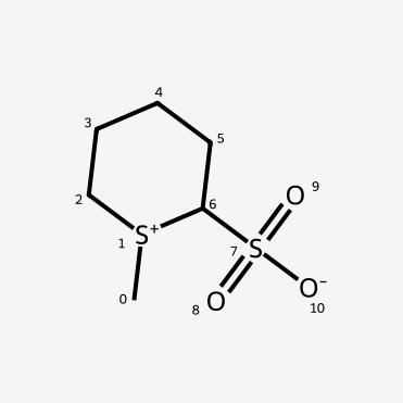 C[S+]1CCCCC1S(=O)(=O)[O-]